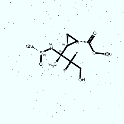 CC(C)(C)OC(=O)[C@H]1C[C@@H]1[C@@](C)(N[S@+]([O-])C(C)(C)C)C(F)(F)CO